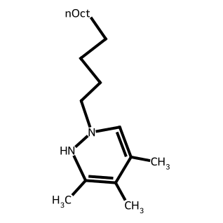 CCCCCCCCCCCCN1C=C(C)C(C)=C(C)N1